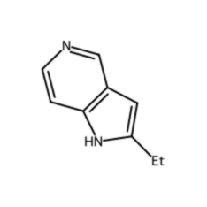 CCc1cc2cnccc2[nH]1